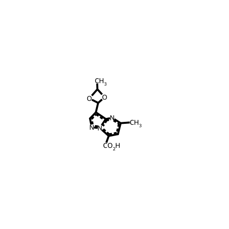 Cc1cc(C(=O)O)n2ncc(C3OC(C)O3)c2n1